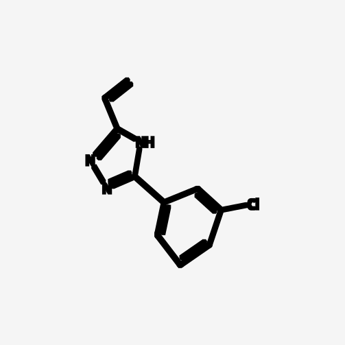 C=Cc1nnc(-c2cccc(Cl)c2)[nH]1